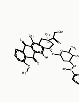 COc1cccc2c1C(=O)c1c(O)c3c(c(O)c1C2=O)C[C@@](O)(C(=O)CO)C[C@@H]3OC1CC(NN(O)c2ccccc2)C(O)C(C)O1